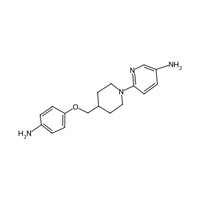 Nc1ccc(OCC2CCN(c3ccc(N)cn3)CC2)cc1